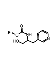 CC(C)(C)OC(=O)NC(CO)Cc1cccnc1